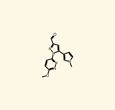 COc1ccc(-n2nc(C=O)cc2-c2ccn(C)c2)nn1